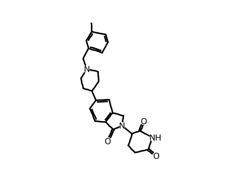 Cc1cccc(CN2CCC(c3ccc4c(c3)CN(C3CCC(=O)NC3=O)C4=O)CC2)c1